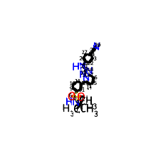 CC(C)(C)NS(=O)(=O)c1cccc(-c2cccc3nc(Nc4ccc(C#N)cc4)nn23)c1